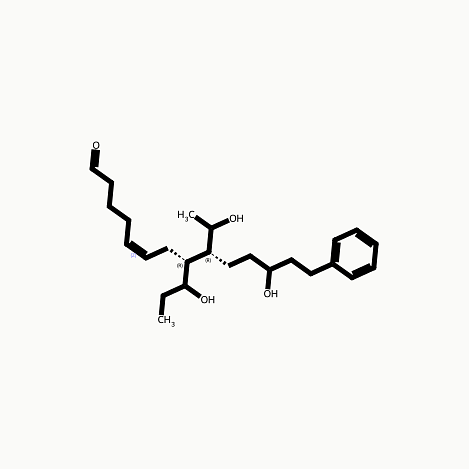 CCC(O)[C@H](C/C=C\CCCC=O)[C@@H](CCC(O)CCc1ccccc1)C(C)O